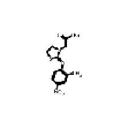 Cc1cc([N+](=O)[O-])ccc1/N=C1\SCCN1CC(=O)C(C)(C)C